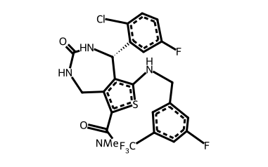 CNC(=O)c1sc(NCc2cc(F)cc(C(F)(F)F)c2)c2c1CNC(=O)N[C@@H]2c1cc(F)ccc1Cl